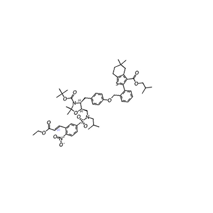 CCOC(=O)/C=C/c1cc(S(=O)(=O)N(CC(C)C)C[C@H]2OC(C)(C)N(C(=O)OC(C)(C)C)[C@H]2Cc2ccc(OCc3ccccc3-c3sc4c(c3C(=O)OCC(C)C)CC(C)(C)CC4)cc2)ccc1[N+](=O)[O-]